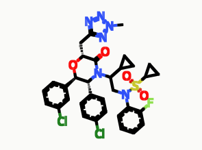 Cn1nnc(C[C@H]2O[C@H](c3cccc(Cl)c3)[C@@H](c3ccc(Cl)cc3)N(C(CN(c3ccccc3F)S(=O)(=O)C3CC3)C3CC3)C2=O)n1